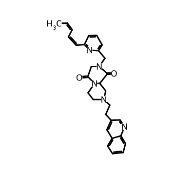 C/C=C\C=C/c1cccc(CN2CC(=O)N3CCN(CCc4cnc5ccccc5c4)CC3C2=O)n1